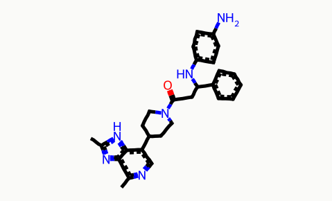 Cc1nc2c(C)ncc(C3CCN(C(=O)CC(Nc4ccc(N)cc4)c4ccccc4)CC3)c2[nH]1